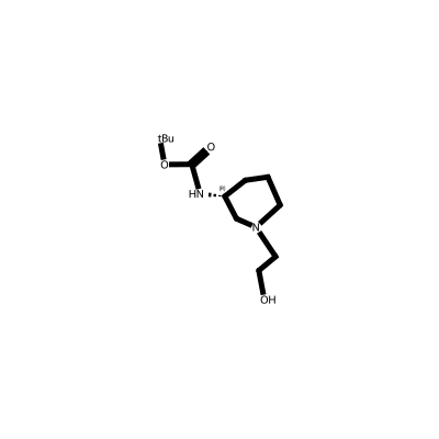 CC(C)(C)OC(=O)N[C@@H]1CCCN(CCO)C1